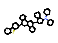 c1ccc(N(c2ccccc2)c2ccc(-c3cc4c5ccccc5c(-c5ccc6c(c5)sc5ccccc56)cc4c4ccccc34)c3ccccc23)cc1